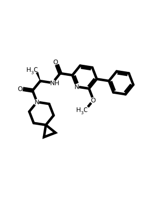 COc1nc(C(=O)N[C@H](C)C(=O)N2CCC3(CC2)CC3)ccc1-c1ccccc1